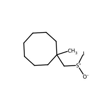 CC1(C[S+]([O-])I)CCCCCCC1